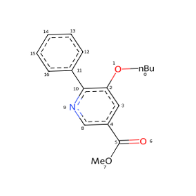 CCCCOc1cc(C(=O)OC)cnc1-c1ccccc1